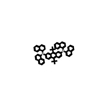 CC(C)(C)c1c2ccc(N(c3cccc4ccccc34)c3cccc4ccccc34)cc2c(C(C)(C)C)c2cc(N(c3cccc4ccccc34)C3CC=Cc4ccccc43)ccc12